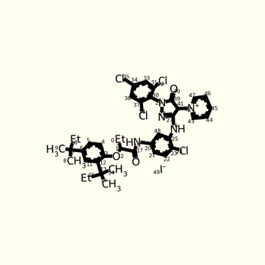 CCC(Oc1ccc(C(C)(C)CC)cc1C(C)(C)CC)C(=O)Nc1ccc(Cl)c(NC2=NN(c3c(Cl)cc(Cl)cc3Cl)C(=O)C2[n+]2ccccc2)c1.[I-]